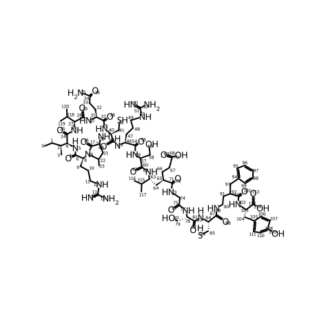 CC[C@H](C)[C@H](NC(=O)[C@H](CCCNC(=N)N)N1C(=O)[C@@H](N)CC1C)C(=O)N[C@H](C(=O)N[C@@H](CCC(N)=O)C(=O)N[C@@H](CS)C(=O)N[C@@H](CCCNC(=N)N)C(=O)NC(CO)C(=O)N[C@H](C[C@@H](CCC(=O)O)C(=O)NCC(=O)N[C@@H](CO)C(=O)N[C@@H](CS)C(=O)NCCC(Cc1ccccc1)C(=O)N[C@@H](Cc1ccc(O)cc1)C(=O)O)C(C)C)C(C)C